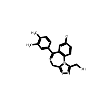 Cc1ccc(C2=NCc3nnc(CO)n3-c3ccc(Cl)cc32)cc1C